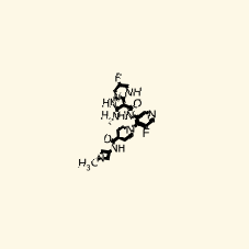 CN1CC(NC(=O)C2CCN(c3c(F)cncc3NC(=O)C3C(N)NN4CC(F)CNC34)CC2)C1